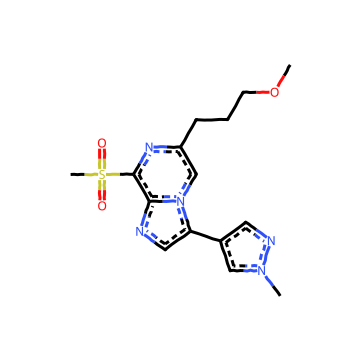 COCCCc1cn2c(-c3cnn(C)c3)cnc2c(S(C)(=O)=O)n1